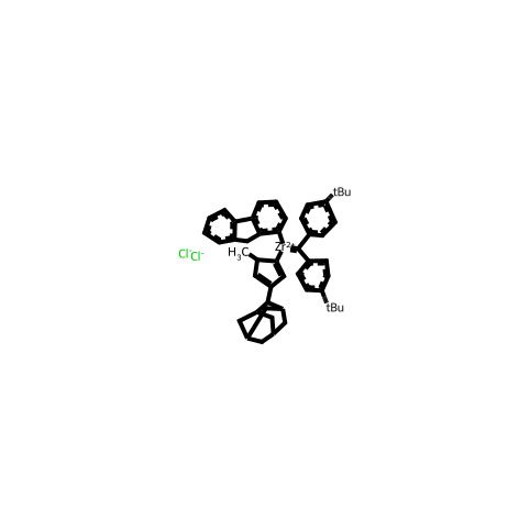 CC1C=C(C2C3CC4CC(C3)CC2C4)C=[C]1[Zr+2](=[C](c1ccc(C(C)(C)C)cc1)c1ccc(C(C)(C)C)cc1)[c]1cccc2c1Cc1ccccc1-2.[Cl-].[Cl-]